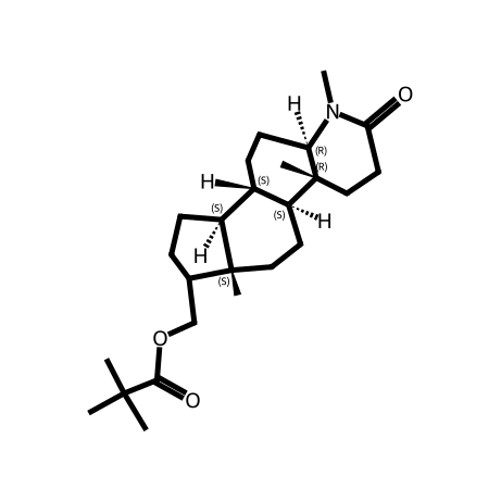 CN1C(=O)CC[C@]2(C)[C@H]3CC[C@]4(C)C(COC(=O)C(C)(C)C)CC[C@H]4[C@@H]3CC[C@@H]12